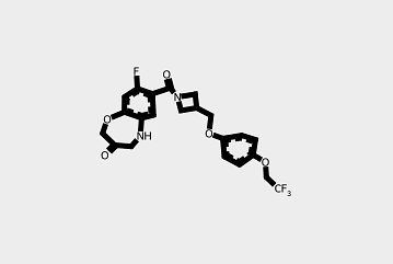 O=C1CNc2cc(C(=O)N3CC(COc4ccc(OCC(F)(F)F)cc4)C3)c(F)cc2OC1